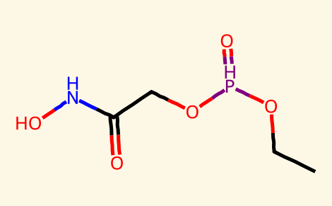 CCO[PH](=O)OCC(=O)NO